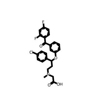 CN(CCC(Oc1cccc(C(=O)c2ccc(F)cc2F)c1)c1ccc(Cl)cc1)CC(=O)O